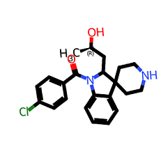 C[C@@H](O)CC1N(C(=O)c2ccc(Cl)cc2)c2ccccc2C12CCNCC2